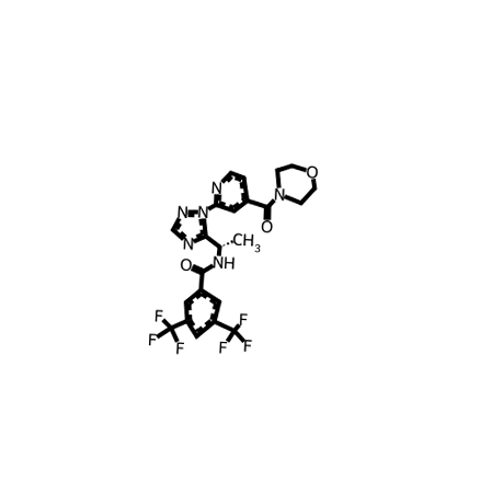 C[C@H](NC(=O)c1cc(C(F)(F)F)cc(C(F)(F)F)c1)c1ncnn1-c1cc(C(=O)N2CCOCC2)ccn1